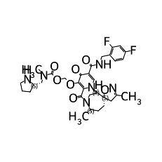 CC1=NO[C@@]2(CC[C@H](C)N3C[C@H]2n2cc(C(=O)NCc4ccc(F)cc4F)c(=O)c(OCOC(=O)N(C)C[C@@H]4CCCN4)c2C3=O)C1